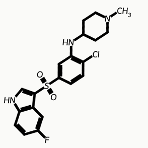 CN1CCC(Nc2cc(S(=O)(=O)c3c[nH]c4ccc(F)cc34)ccc2Cl)CC1